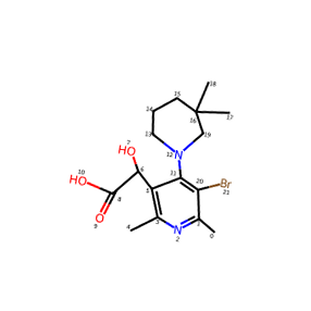 Cc1nc(C)c(C(O)C(=O)O)c(N2CCCC(C)(C)C2)c1Br